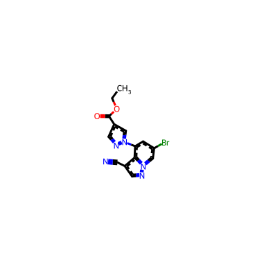 CCOC(=O)c1cnn(-c2cc(Br)cn3ncc(C#N)c23)c1